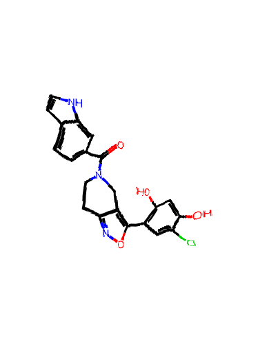 O=C(c1ccc2cc[nH]c2c1)N1CCc2noc(-c3cc(Cl)c(O)cc3O)c2C1